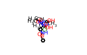 CC1(O)CC(NC(=NC(=O)OC(C)(C)C)NC(C)(CC(=O)O)c2cccc(NC(=O)OCc3ccccc3)c2Cl)C1